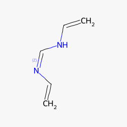 C=C/N=C\NC=C